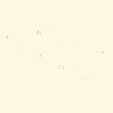 CCSc1ncc2cc(C)c(=O)[nH]c2n1